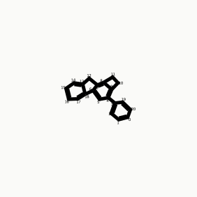 c1ccc(-c2cc3c(c4c2CC4)Cc2ccccc2-3)cc1